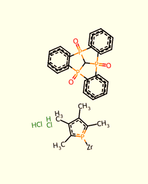 Cc1c(C)c(C)[p]([Zr])c1C.Cl.Cl.O=P(c1ccccc1)(c1ccccc1)C(P(=O)(c1ccccc1)c1ccccc1)P(=O)(c1ccccc1)c1ccccc1